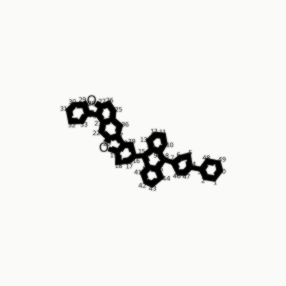 c1ccc(-c2ccc(-c3c4ccccc4c(-c4ccc5oc6cc7c(ccc8oc9ccccc9c87)cc6c5c4)c4ccccc34)cc2)cc1